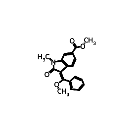 COC(=O)c1ccc2c(c1)N(C)C(=O)/C2=C(\OC)c1ccccc1